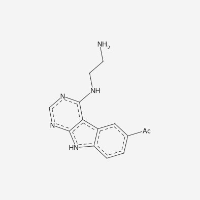 CC(=O)c1ccc2[nH]c3ncnc(NCCN)c3c2c1